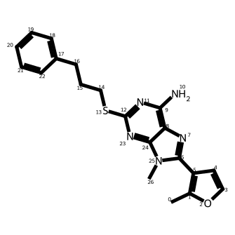 Cc1occc1-c1nc2c(N)nc(SCCCc3ccccc3)nc2n1C